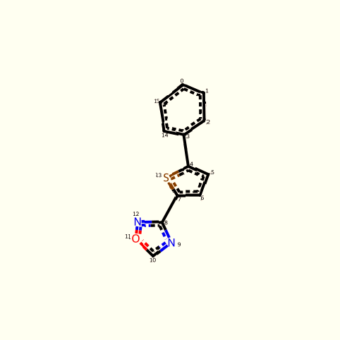 c1ccc(-c2ccc(-c3ncon3)s2)cc1